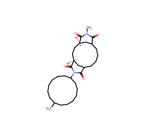 CC1CCCCCCC(N2C(=O)C3CCCCC4C[C@@H](CC[C@@H](C3)C2=O)C(=O)N(C)C4=O)CCCCCC1